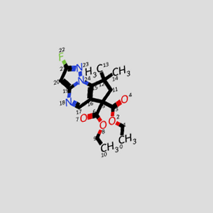 CCOC(=O)C1(C(=O)OCC)CC(C)(C)c2c1cnc1cc(F)nn21